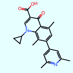 Cc1cc(-c2cc(C)c3c(=O)c(C(=O)O)cn(C4CC4)c3c2C)cc(C)n1